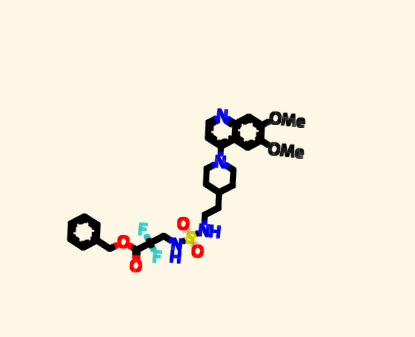 COc1cc2nccc(N3CCC(CCNS(=O)(=O)NCC(F)(F)C(=O)OCc4ccccc4)CC3)c2cc1OC